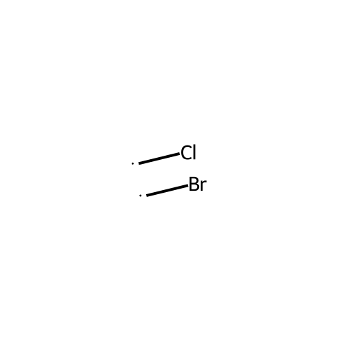 [CH2]Br.[CH2]Cl